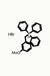 Br.COc1cccc(C[PH](c2ccccc2)(c2ccccc2)c2ccccc2)c1